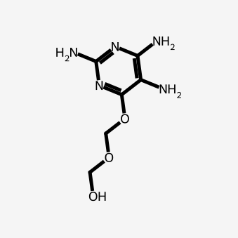 Nc1nc(N)c(N)c(OCOCO)n1